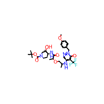 COc1ccc(Cn2ncc(NC(C)COC(C)C(=O)N[C@@H]3CCN(C(=O)OC(C)(C)C)C[C@H]3O)c(C(F)(F)F)c2=O)cc1